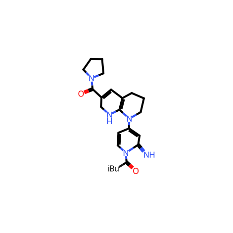 CCC(C)C(=O)n1ccc(N2CCCC3=C2NCC(C(=O)N2CCCC2)=C3)cc1=N